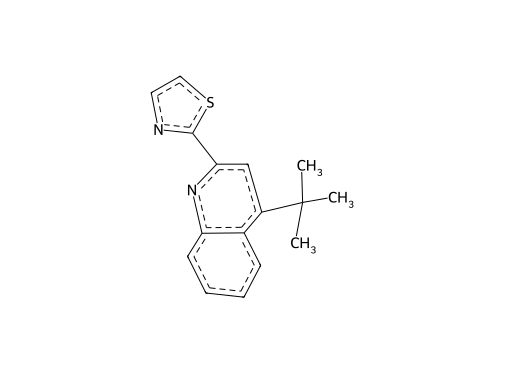 CC(C)(C)c1cc(-c2nccs2)nc2ccccc12